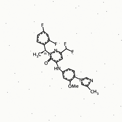 COc1cc(Nc2cc(C(F)F)nn([C@@H](C)c3ccc(F)cc3F)c2=O)ccc1-n1cnc(C)c1